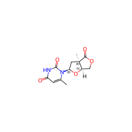 Cc1cc(=O)[nH]c(=O)n1[C@H]1C[C@@]2(C)C(=O)OC[C@H]2O1